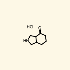 Cl.O=C1CCCC2CNCC12